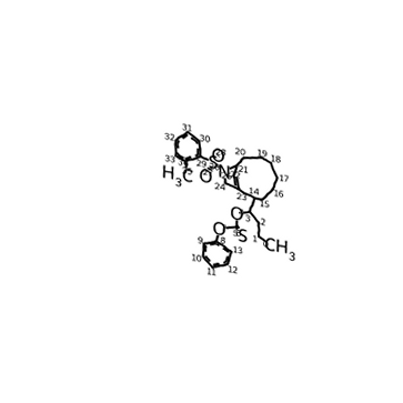 CCCC(OC(=S)Oc1ccccc1)C1CCCCCCC2C=C1CN2S(=O)(=O)c1ccccc1C